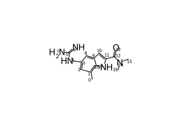 Cc1cc(NC(=N)N)cc2cc(C(=O)N(C)C)[nH]c12